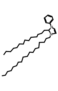 CCCCCCCCCCCCCCCCCCN1C=CN(c2ccccc2)C1CCCCCCCCCCCCCC